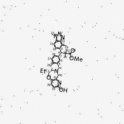 CC[C@@H]1CN(Cc2cc(C(c3ccc4c(nnn4C)c3C)C(C)(C)C(=O)OC)ccc2C)Cc2nc(O)ccc2O1